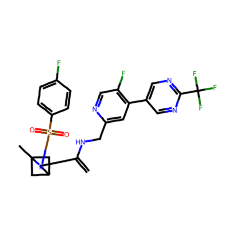 C=C(NCc1cc(-c2cnc(C(F)(F)F)nc2)c(F)cn1)C1C2CC(C)(C2)N1S(=O)(=O)c1ccc(F)cc1